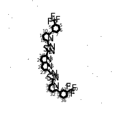 FC(F)(F)c1cccc(-c2cccc(-c3nnc(-c4ccc5ccc(-c6nnc(-c7cccc(-c8cccc(C(F)(F)F)c8)n7)s6)nc5n4)s3)n2)c1